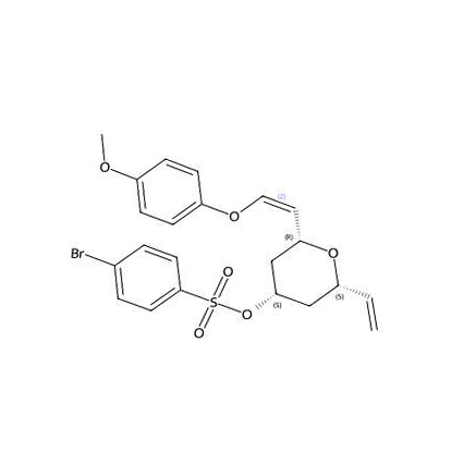 C=C[C@@H]1C[C@H](OS(=O)(=O)c2ccc(Br)cc2)C[C@H](/C=C\Oc2ccc(OC)cc2)O1